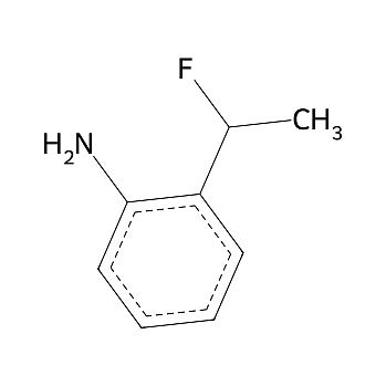 CC(F)c1ccccc1N